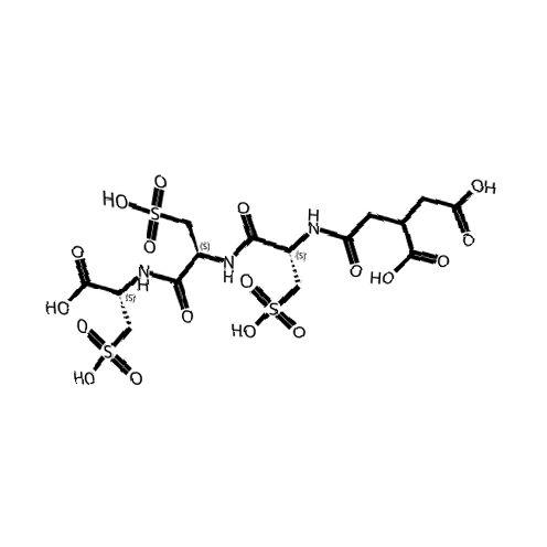 O=C(O)CC(CC(=O)N[C@H](CS(=O)(=O)O)C(=O)N[C@H](CS(=O)(=O)O)C(=O)N[C@H](CS(=O)(=O)O)C(=O)O)C(=O)O